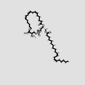 CCCCC/C=C\C/C=C\C/C=C\CCCCC(=O)O[C@H](COC(=O)CCCCCCCCC/C=C\C/C=C\CCCCC)COP(=O)(O)OC[C@H](N)C(=O)O